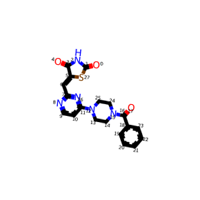 O=C1NC(=O)C(=Cc2nccc(N3CCN(C(=O)c4ccccc4)CC3)n2)S1